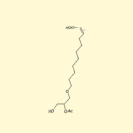 CCCCCCCC/C=C\CCCCCCCCOCC(CO)OC(C)=O